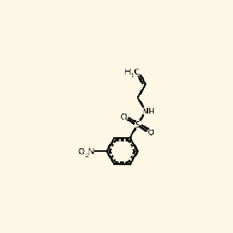 C=CCNS(=O)(=O)c1cccc([N+](=O)[O-])c1